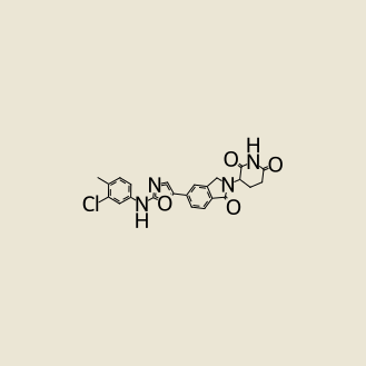 Cc1ccc(Nc2ncc(-c3ccc4c(c3)CN(C3CCC(=O)NC3=O)C4=O)o2)cc1Cl